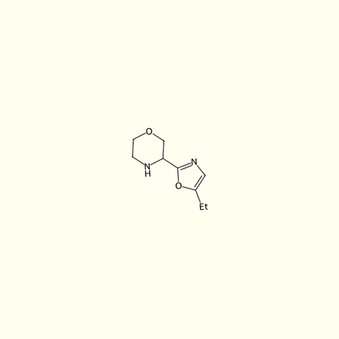 CCc1cnc(C2COCCN2)o1